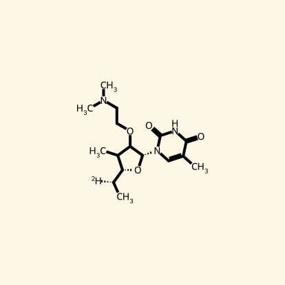 [2H][C@@H](C)[C@H]1O[C@@H](n2cc(C)c(=O)[nH]c2=O)C(OCCN(C)C)C1C